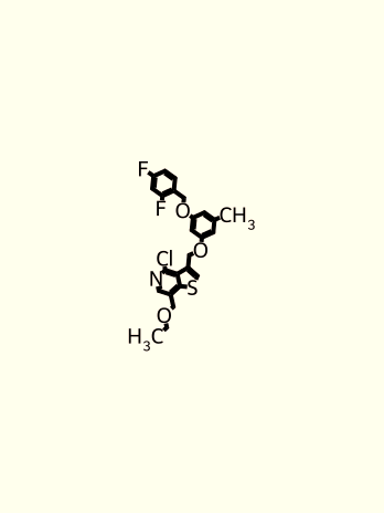 CCOCc1cnc(Cl)c2c(COc3cc(C)cc(OCc4ccc(F)cc4F)c3)csc12